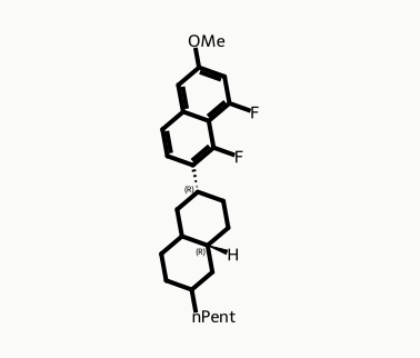 CCCCCC1CCC2C[C@H](c3ccc4cc(OC)cc(F)c4c3F)CC[C@@H]2C1